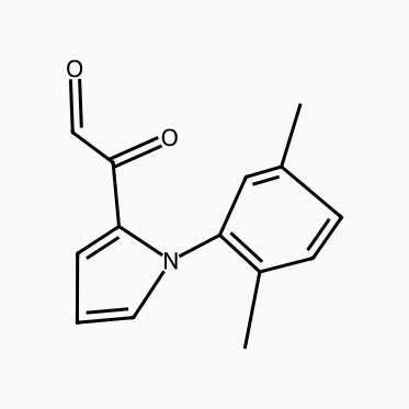 Cc1ccc(C)c(-n2cccc2C(=O)C=O)c1